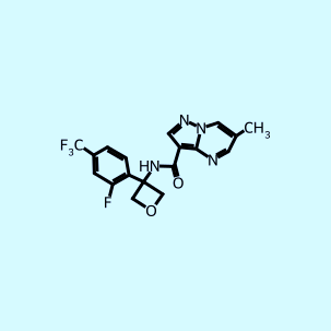 Cc1cnc2c(C(=O)NC3(c4ccc(C(F)(F)F)cc4F)COC3)cnn2c1